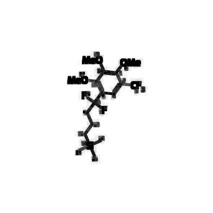 COc1c(C(F)(F)F)cc(C(F)(F)CCC[Si](C)(C)C)c(OC)c1OC